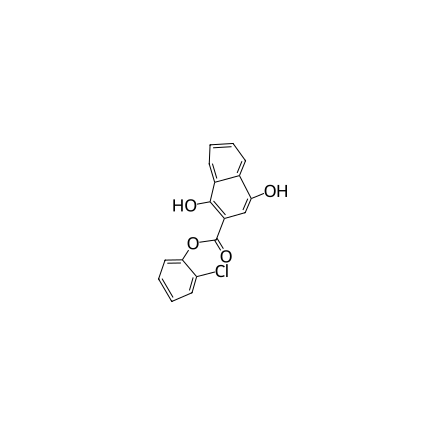 O=C(Oc1ccccc1Cl)c1cc(O)c2ccccc2c1O